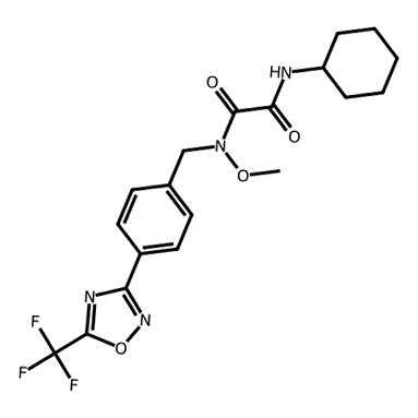 CON(Cc1ccc(-c2noc(C(F)(F)F)n2)cc1)C(=O)C(=O)NC1CCCCC1